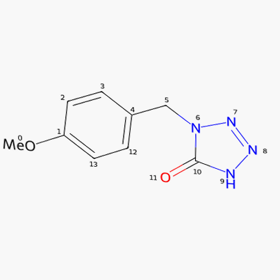 COc1ccc(Cn2nn[nH]c2=O)cc1